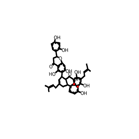 CC(C)=CCC1=CC(c2c(O)cc3c(c2O)C(=O)CC(c2ccc(O)cc2O)O3)C(C(=O)c2ccc(O)c(CC=C(C)C)c2O)C(c2ccc(O)cc2O)C1